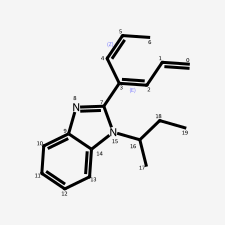 C=C/C=C(\C=C/C)c1nc2ccccc2n1C(C)CC